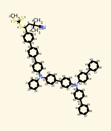 CSC(=S)SC(CC(C)(C)C#N)c1ccc(-c2ccc(-c3ccc(N(c4ccccc4)c4ccc(-c5ccc(N(c6ccc(-c7ccccc7)cc6)c6ccc(-c7ccccc7)cc6)cc5)cc4)cc3)cc2)cc1